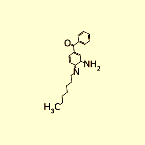 CCCCCCCN=C1C=CC(C(=O)c2ccccc2)=CC1N